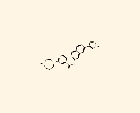 C=C(Nc1cc2cc(-c3cnn(C)c3)ccc2cn1)c1ccnc(N2CCCN(C)CC2)c1